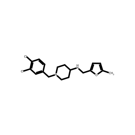 Cc1ccc(CNC2CCN(Cc3ccc(Cl)c(Cl)c3)CC2)o1